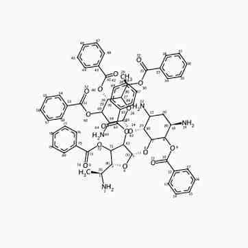 C[C@H](N)[C@H]1O[C@@H](OC2C(OC(=O)c3ccccc3)[C@H](N)CC(N)[C@H]2O[C@H]2OC([C@@H](C)OC(=O)c3ccccc3)[C@@H](OC(=O)c3ccccc3)C(OC(=O)c3ccccc3)C2N)C(OC(=O)c2ccccc2)C1OC(=O)c1ccccc1